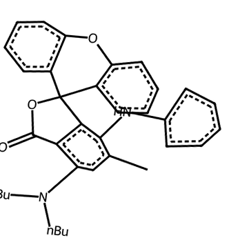 CCCCN(CCCC)c1cc(C)c(Nc2ccccc2)c2c1C(=O)OC21c2ccccc2Oc2ccccc21